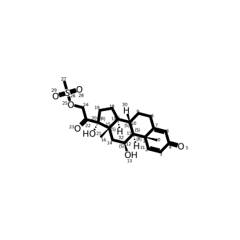 C[C@]12C=CC(=O)C=C1CC[C@@H]1[C@@H]2[C@@H](O)C[C@@]2(C)[C@H]1CC[C@]2(O)C(=O)COS(C)(=O)=O